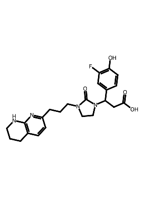 O=C(O)CC(c1ccc(O)c(F)c1)N1CCN(CCCc2ccc3c(n2)NCCC3)C1=O